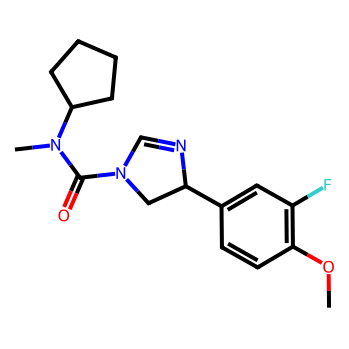 COc1ccc(C2CN(C(=O)N(C)C3CCCC3)C=N2)cc1F